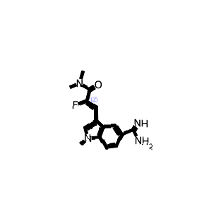 CN(C)C(=O)/C(F)=C/c1cn(C)c2ccc(C(=N)N)cc12